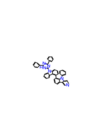 c1ccc(C2=NC(c3ccccc3)NC(n3c4ccccc4c4c(-c5cccc6c7cnccc7n(-c7ccccc7)c56)cccc43)=N2)cc1